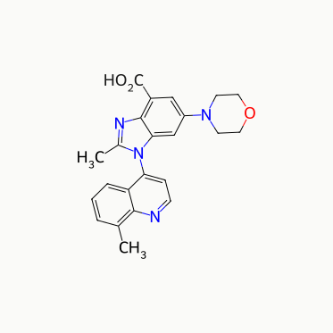 Cc1cccc2c(-n3c(C)nc4c(C(=O)O)cc(N5CCOCC5)cc43)ccnc12